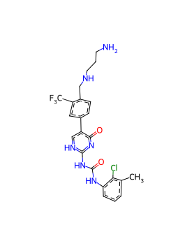 Cc1cccc(NC(=O)Nc2nc(=O)c(-c3ccc(CNCCCN)c(C(F)(F)F)c3)c[nH]2)c1Cl